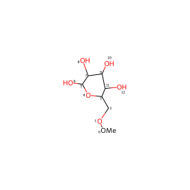 COOCC1OC(O)C(O)C(O)C1O